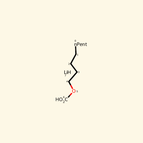 CCCCCCCCCOC(=O)O.[LiH]